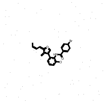 C=c1c(-c2cccc(Cl)c2NC(=O)C2=CCC(Br)C=C2)co/c1=C/C=C\C